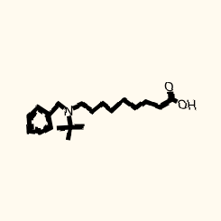 CC(C)(C)N(CCCCCCCCC(=O)O)Cc1ccccc1